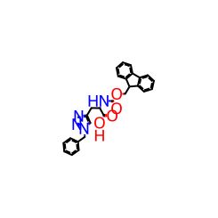 O=C(NC(Cc1cn(Cc2ccccc2)nn1)C(=O)O)OCC1c2ccccc2-c2ccccc21